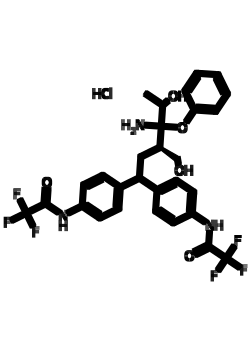 CC(O)C(N)(Oc1ccccc1)[C@@H](CO)CC(c1ccc(NC(=O)C(F)(F)F)cc1)c1ccc(NC(=O)C(F)(F)F)cc1.Cl